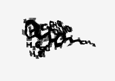 CCCCc1ccc(C(O[SiH](C)C)C(CC2CCCCC2)C(C)(C)C)cc1[N+](=O)[O-]